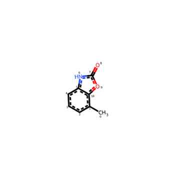 Cc1cccc2[nH]c(=O)oc12